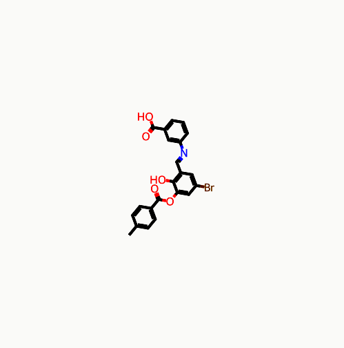 Cc1ccc(C(=O)Oc2cc(Br)cc(C=Nc3cccc(C(=O)O)c3)c2O)cc1